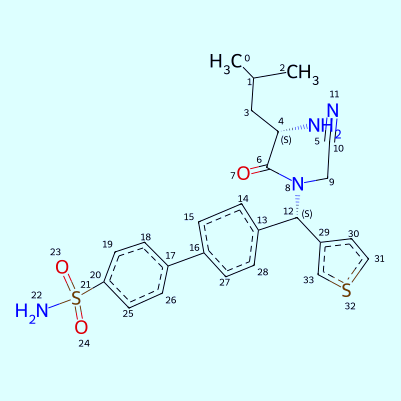 CC(C)C[C@H](N)C(=O)N(CC#N)[C@@H](c1ccc(-c2ccc(S(N)(=O)=O)cc2)cc1)c1ccsc1